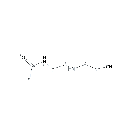 CCCNCCNC(=O)I